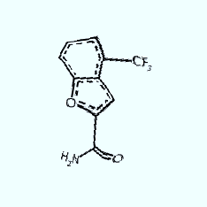 NC(=O)c1cc2c(C(F)(F)F)cccc2o1